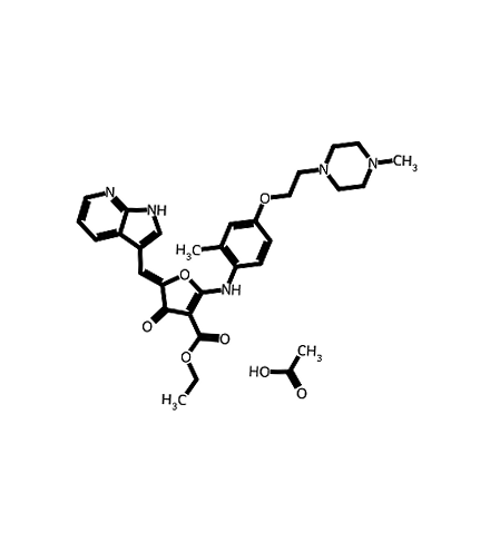 CC(=O)O.CCOC(=O)C1=C(Nc2ccc(OCCN3CCN(C)CC3)cc2C)OC(=Cc2c[nH]c3ncccc23)C1=O